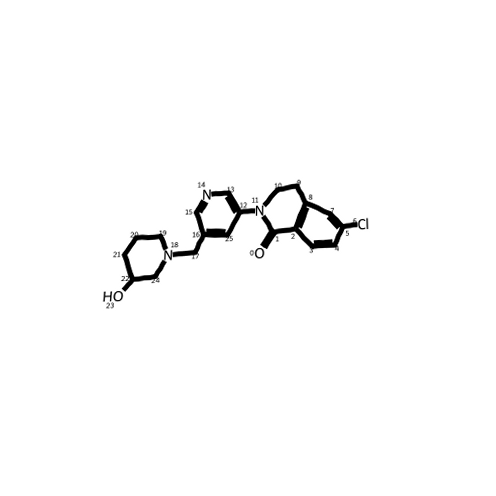 O=C1c2ccc(Cl)cc2CCN1c1cncc(CN2CCCC(O)C2)c1